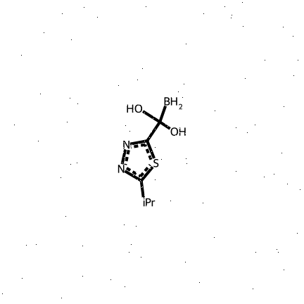 BC(O)(O)c1nnc(C(C)C)s1